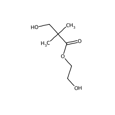 CC(C)(CO)C(=O)OCCO